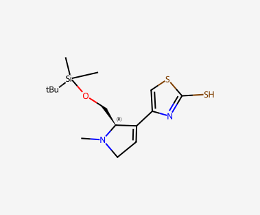 CN1CC=C(c2csc(S)n2)[C@@H]1CO[Si](C)(C)C(C)(C)C